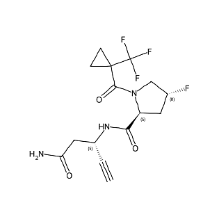 C#C[C@H](CC(N)=O)NC(=O)[C@@H]1C[C@@H](F)CN1C(=O)C1(C(F)(F)F)CC1